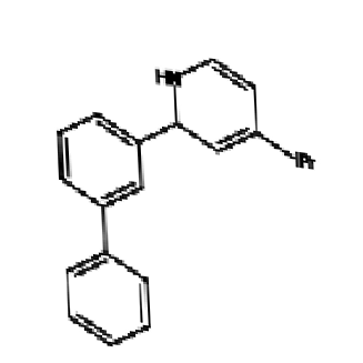 CC(C)C1=CC(c2cccc(-c3ccccc3)c2)NC=C1